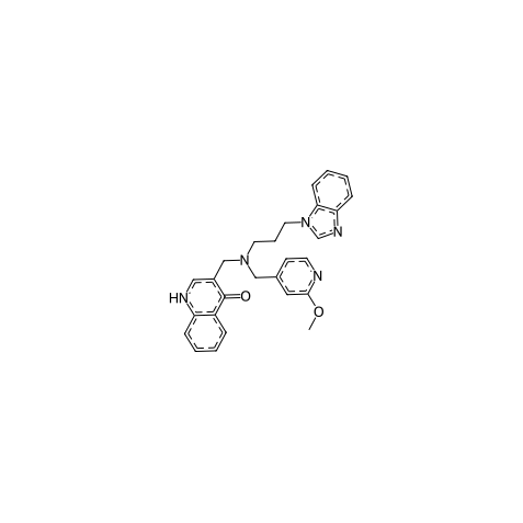 COc1cc(CN(CCCn2cnc3ccccc32)Cc2c[nH]c3ccccc3c2=O)ccn1